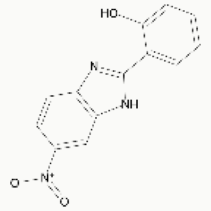 O=[N+]([O-])c1ccc2nc(-c3ccccc3O)[nH]c2c1